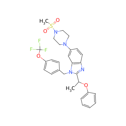 CC(Oc1ccccc1)c1nc2ccc(N3CCN(S(C)(=O)=O)CC3)cc2n1Cc1ccc(OC(F)(F)F)cc1